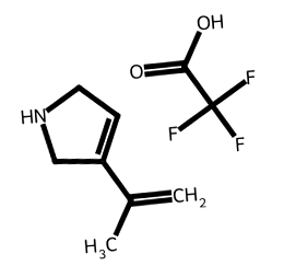 C=C(C)C1=CCNC1.O=C(O)C(F)(F)F